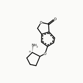 N[C@H]1CCCC1Oc1ccc2c(c1)COC2=O